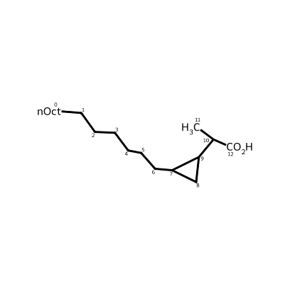 CCCCCCCCCCCCCCC1CC1C(C)C(=O)O